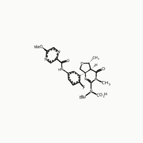 COc1cnc(C(=O)Nc2ccc(F)c([C@]34CO[C@H](C)[C@H]3C(=O)N(C)C(N(C(=O)O)C(C)(C)C)=N4)c2)cn1